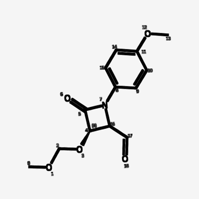 COCO[C@H]1C(=O)N(c2ccc(OC)cc2)C1C=O